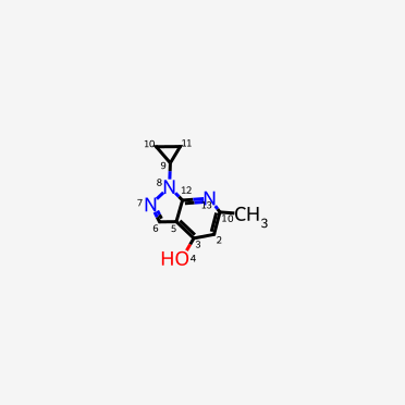 Cc1cc(O)c2cnn(C3CC3)c2n1